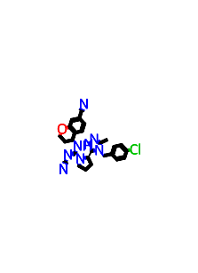 Cc1nnc([C@H]2CCCN2/C(=N\C#N)N[C@H]2CCOc3cc(C#N)ccc32)n1Cc1ccc(Cl)cc1